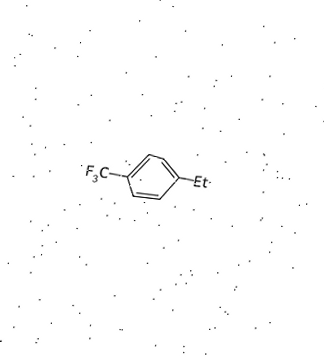 C[CH]c1ccc(C(F)(F)F)cc1